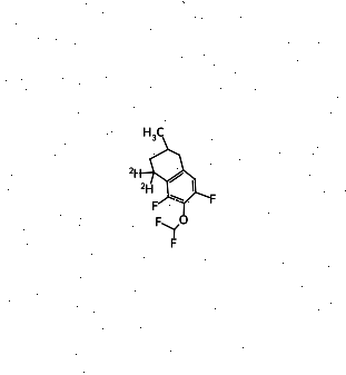 [2H]C1([2H])CC(C)Cc2cc(F)c(OC(F)F)c(F)c21